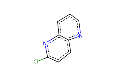 Clc1ccc2nc[c]cc2n1